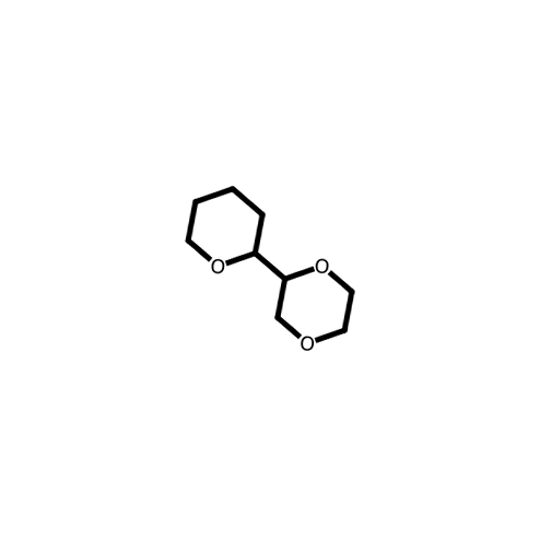 C1CCC(C2COCCO2)OC1